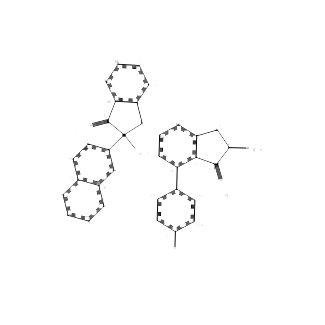 CCCCC1(c2ccc3ccccc3c2)Cc2ccccc2C1=O.CCCCC1Cc2cccc(-c3ccc(C)cc3)c2C1=O